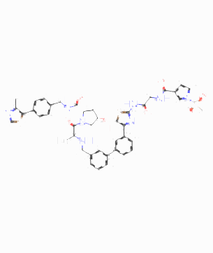 Cc1ncsc1-c1ccc(CNC(=O)[C@@H]2C[C@@H](O)CN2C(=O)C(NCc2cccc(-c3cccc(-c4csc(NC(=O)CNC(=O)c5ccn(S(C)(=O)=O)c5)n4)c3)c2)C(C)(C)C)cc1